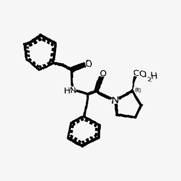 O=C(NC(C(=O)N1CCC[C@@H]1C(=O)O)c1ccccc1)c1ccccc1